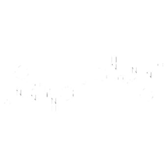 O=C(Nc1ccc(C#Cc2ccc(NC(=O)[C@@H]3CCCN3C(=O)[C@@H](c3ccccc3)N3CCOCC3)cc2)cc1)[C@@H]1CCCN1C(=O)[C@@H](c1ccccc1)N1CCOCC1